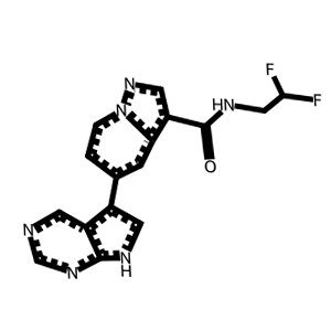 O=C(NCC(F)F)c1cnn2ccc(-c3c[nH]c4ncncc34)cc12